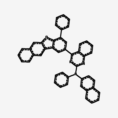 c1ccc(-c2cc(-c3nc(N(c4ccccc4)c4ccc5ccccc5c4)nc4ccccc34)cc3c2oc2cc4ccccc4cc23)cc1